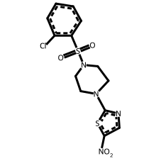 O=[N+]([O-])c1cnc(N2CCN(S(=O)(=O)c3ccccc3Cl)CC2)s1